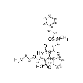 CN(CCCN1C(=O)NC(COCCN)=C(C(=O)O)C1c1ccccc1Cl)C(=O)CCc1ccccc1